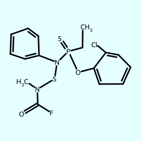 CCP(=S)(Oc1ccccc1Cl)N(SN(C)C(=O)F)c1ccccc1